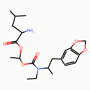 CCN(C(=O)OC(C)OC(=O)C(N)CC(C)C)C(C)Cc1ccc2c(c1)OCO2